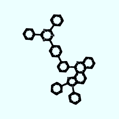 c1ccc(-c2nc(-c3ccccc3)nc(-c3ccc(-c4cccc(-c5nc6ccccc6c6ccc7c(nc(-c8ccccc8)n7-c7ccccc7)c56)c4)cc3)n2)cc1